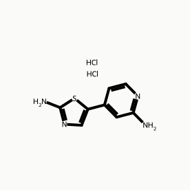 Cl.Cl.Nc1cc(-c2cnc(N)s2)ccn1